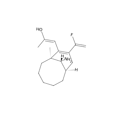 C=C(F)C1=C(/C=C(\C)O)[C@]2(C)CCCCC[C@H](C1)[C@H]2N